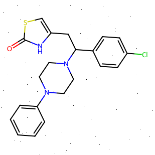 O=c1[nH]c(CC(c2ccc(Cl)cc2)N2CCN(c3ccccc3)CC2)cs1